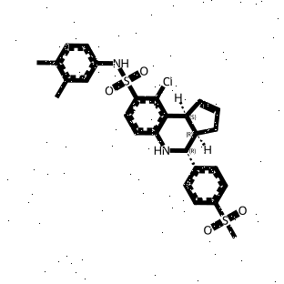 Cc1ccc(NS(=O)(=O)c2ccc3c(c2Cl)[C@H]2C=CC[C@H]2[C@H](c2ccc(S(C)(=O)=O)cc2)N3)cc1C